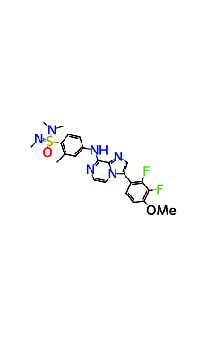 CN=S(=O)(c1ccc(Nc2nccn3c(-c4ccc(OC)c(F)c4F)cnc23)cc1C)N(C)C